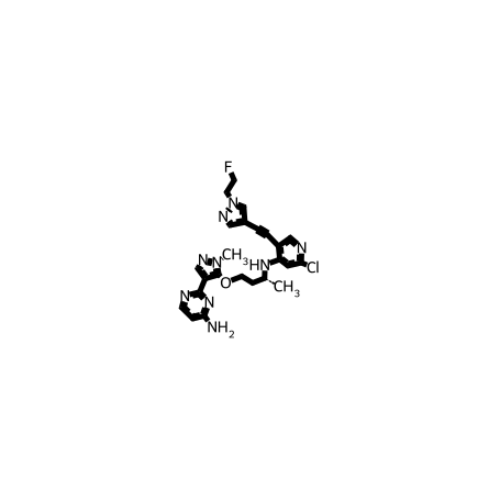 C[C@H](CCOc1c(-c2nccc(N)n2)cnn1C)Nc1cc(Cl)ncc1C#Cc1cnn(CCF)c1